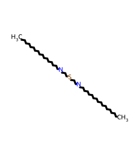 CCCCCCCCCCCCCCCCCCN=CCCSCCC=NCCCCCCCCCCCCCCCCCC